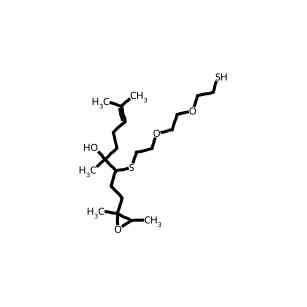 CC(C)=CCCC(C)(O)C(CCC1(C)OC1C)SCCOCCOCCS